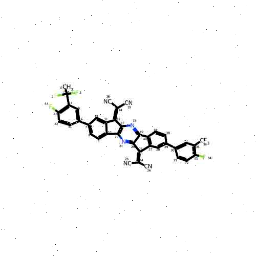 CC(F)(F)c1cc(-c2ccc3c(c2)C(=C(C#N)C#N)c2nc4c(nc2-3)C(=C(C#N)C#N)c2cc(-c3ccc(F)c(C(F)(F)F)c3)ccc2-4)ccc1F